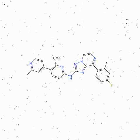 COc1nc(Nc2nc3c(-c4ccc(F)cc4C)nccn3n2)ccc1-c1ccnc(C)c1